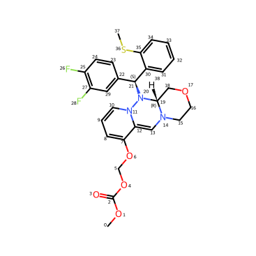 COC(=O)OCOC1=CC=CN2C1=CN1CCOC[C@H]1N2[C@@H](c1ccc(F)c(F)c1)c1ccccc1SC